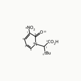 CC(C)(C)C(C(=O)O)n1cccc([N+](=O)[O-])c1=O